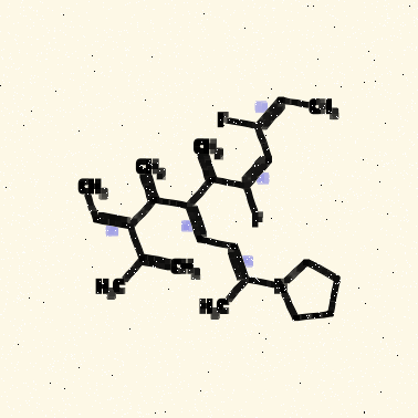 C=C(C)/C(=C/C)C(=C)/C(=C/C=C(\C)N1CCCC1)C(=C)/C(F)=C\C(F)=C/C